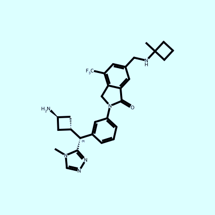 Cn1cnnc1[C@@H](c1cccc(N2Cc3c(cc(CNC4(C)CCC4)cc3C(F)(F)F)C2=O)c1)[C@H]1C[C@H](N)C1